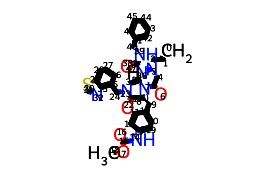 C=CCN1CC(=O)N2[C@@H](Cc3ccc(NC(=O)OC)cc3)C(=O)N(Cc3cccc4scnc34)C[C@@H]2N1C(=O)NCc1ccccc1